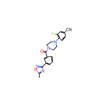 Cc1nc(-c2cccc(C(=O)N3CCN(c4ccc(C#N)cc4F)CC3)c2)no1